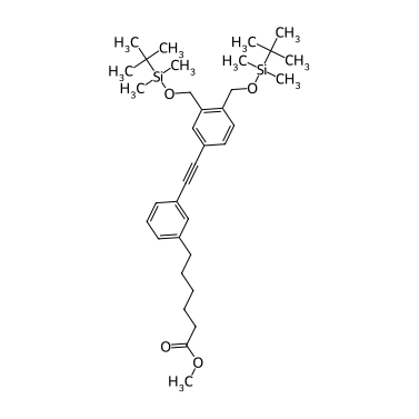 COC(=O)CCCCCc1cccc(C#Cc2ccc(CO[Si](C)(C)C(C)(C)C)c(CO[Si](C)(C)C(C)(C)C)c2)c1